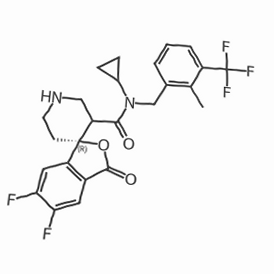 Cc1c(CN(C(=O)C2CNCC[C@@]23OC(=O)c2cc(F)c(F)cc23)C2CC2)cccc1C(F)(F)F